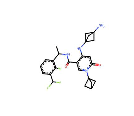 CC(NC(=O)c1cn(C23CC(C2)C3)c(=O)cc1NC12CC(N)(C1)C2)c1cccc(C(F)F)c1F